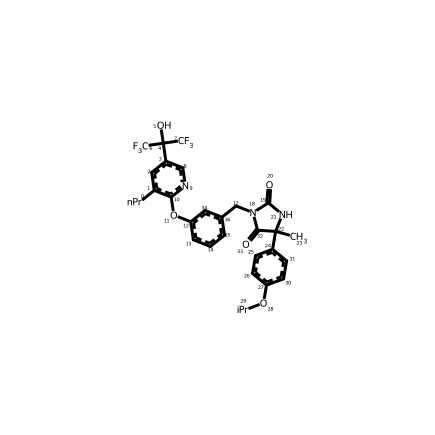 CCCc1cc(C(O)(C(F)(F)F)C(F)(F)F)cnc1Oc1cccc(CN2C(=O)NC(C)(c3ccc(OC(C)C)cc3)C2=O)c1